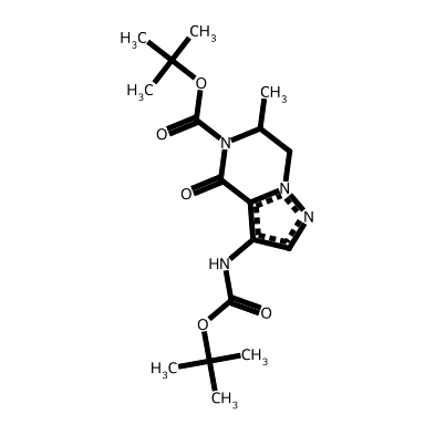 CC1Cn2ncc(NC(=O)OC(C)(C)C)c2C(=O)N1C(=O)OC(C)(C)C